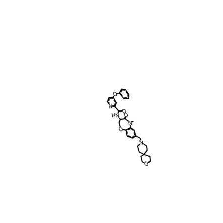 CN1C(=O)C(NC(=O)c2cc(Oc3ccccc3)ccn2)COc2ccc(CN3CCC4(CCOCC4)CC3)cc21